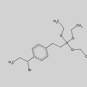 CCO[Si](CCc1ccc(C(Br)CC)cc1)(OCC)OCC